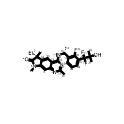 CC[C@@]1(C)C(=O)N(C)c2cc3nc(C)nc(N[C@H](C)c4cccc(C(F)(F)C(C)(C)O)c4F)c3cc21